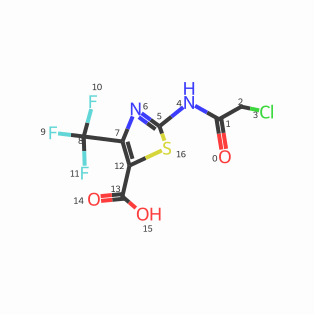 O=C(CCl)Nc1nc(C(F)(F)F)c(C(=O)O)s1